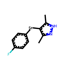 Cc1n[nH]c(C)c1[Se]c1ccc(F)cc1